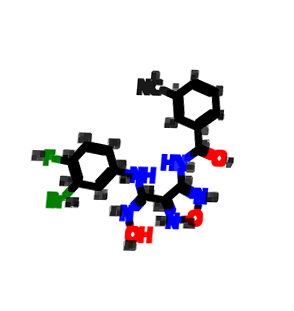 N#Cc1cccc(C(=O)Nc2nonc2/C(=N\O)Nc2ccc(F)c(Br)c2)c1